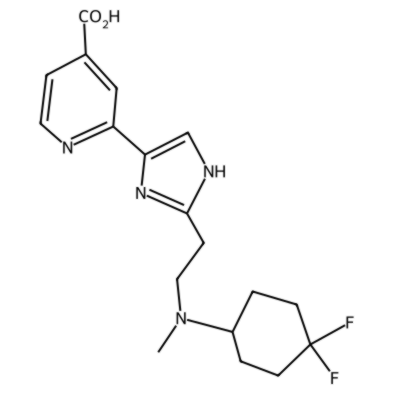 CN(CCc1nc(-c2cc(C(=O)O)ccn2)c[nH]1)C1CCC(F)(F)CC1